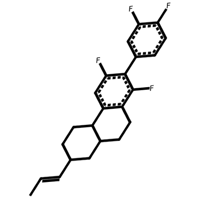 CC=CC1CCC2c3cc(F)c(-c4ccc(F)c(F)c4)c(F)c3CCC2C1